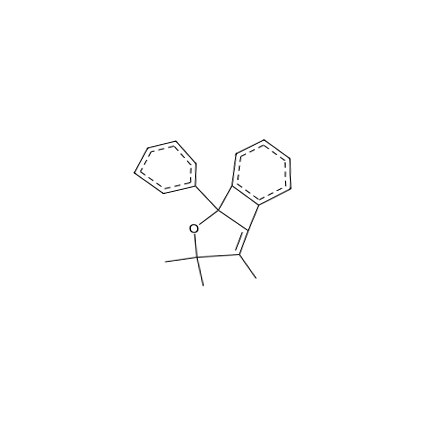 CC1=C2c3ccccc3C2(c2ccccc2)OC1(C)C